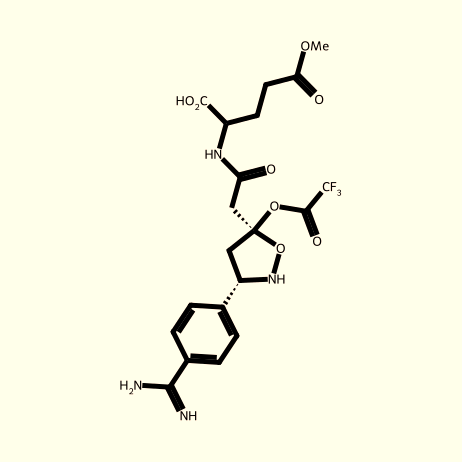 COC(=O)CCC(NC(=O)C[C@@]1(OC(=O)C(F)(F)F)C[C@@H](c2ccc(C(=N)N)cc2)NO1)C(=O)O